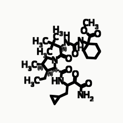 CC[C@@H]1[C@@H](C(=O)NC(CC2CC2)C(=O)C(N)=O)N(C(=O)[C@@H](NC(=O)NC2(C(=O)OC)CCCCC2)C(C)(C)C)C[C@@H]1C